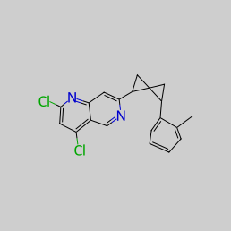 Cc1ccccc1C1CC12CC2c1cc2nc(Cl)cc(Cl)c2cn1